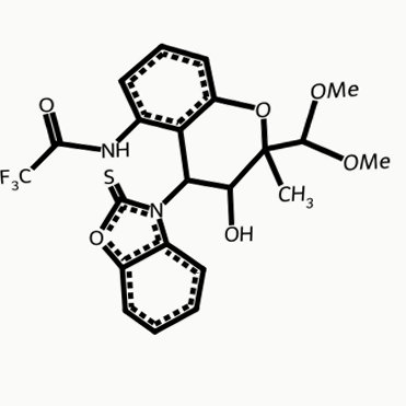 COC(OC)C1(C)Oc2cccc(NC(=O)C(F)(F)F)c2C(n2c(=S)oc3ccccc32)C1O